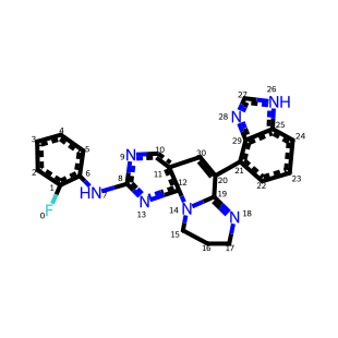 Fc1ccccc1Nc1ncc2c(n1)N1CCCN=C1C(c1cccc3[nH]cnc13)=C2